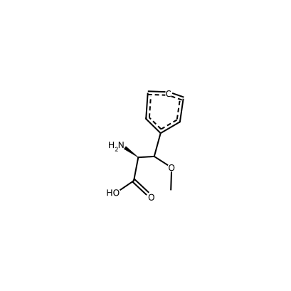 COC(c1ccccc1)[C@H](N)C(=O)O